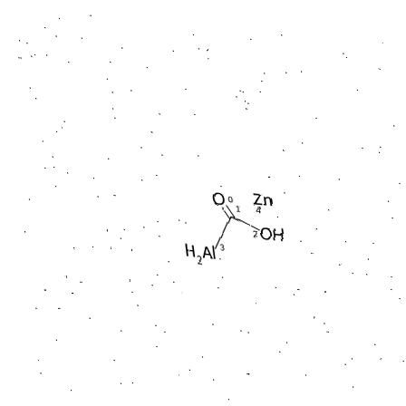 O=[C](O)[AlH2].[Zn]